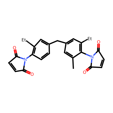 CCc1cc(Cc2cc(C)c(N3C(=O)C=CC3=O)c(CC)c2)ccc1N1C(=O)C=CC1=O